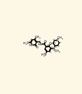 Bc1cc(C(=O)NCc2c(C)cc(C)[nH]c2=O)c(C)c(N(C)C2CCN(C)CC2)c1